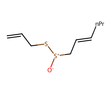 C=CCS[S+]([O-])CC=CCCC